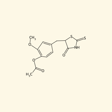 COc1cc(CC2SC(=S)NC2=O)ccc1OC(C)=O